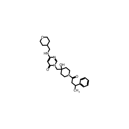 CC(CC(=O)N1CCC(O)(Cn2cnc(NCC3CCOCC3)cc2=O)CC1)c1ccccc1